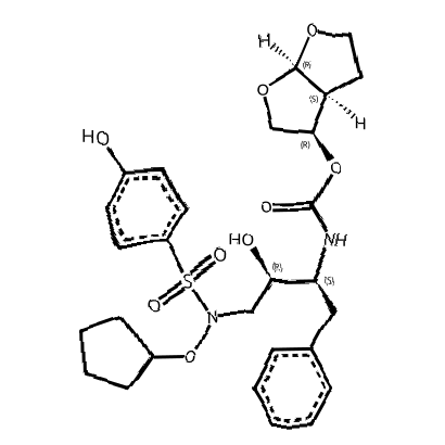 O=C(N[C@@H](Cc1ccccc1)[C@H](O)CN(OC1CCCC1)S(=O)(=O)c1ccc(O)cc1)O[C@H]1CO[C@H]2OCC[C@H]21